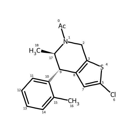 CC(=O)N1Cc2sc(Cl)cc2[C@H](c2ccccc2C)[C@H]1C